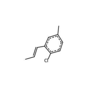 C/C=C/c1cc(C)ccc1Cl